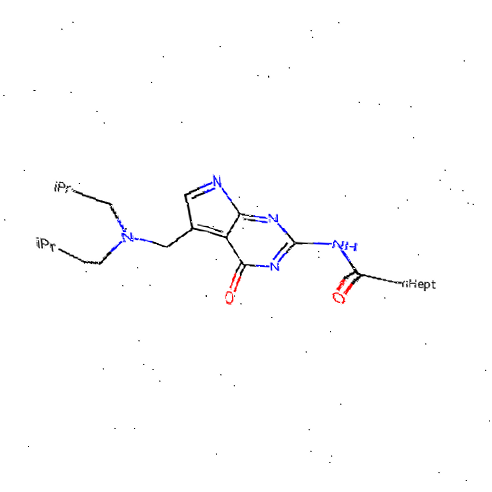 CCCCCCCC(=O)NC1=NC(=O)C2=C(CN(CC(C)C)CC(C)C)C=NC2=N1